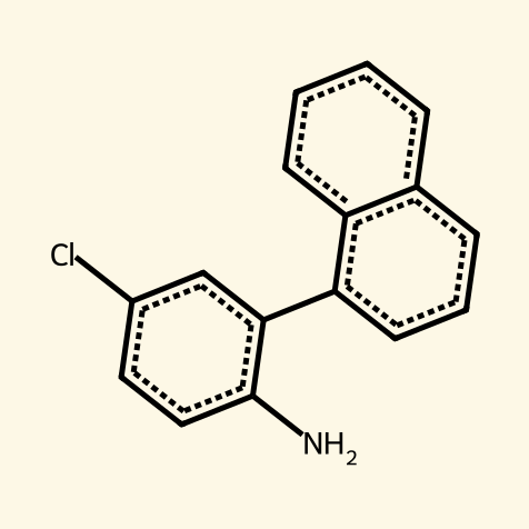 Nc1ccc(Cl)cc1-c1cccc2ccccc12